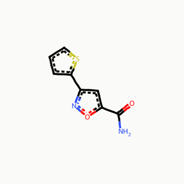 NC(=O)c1cc(-c2cccs2)no1